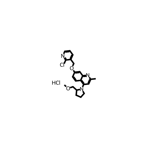 COCC1CCCN1c1cc(C)nc2cc(OCc3cccnc3Cl)ccc12.Cl